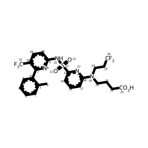 Cc1ccccc1-c1nc(NS(=O)(=O)c2cccc(N(CCCC(=O)O)CCC(F)(F)F)n2)ccc1C(F)(F)F